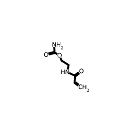 C=CC(=O)NCCOC(N)=O